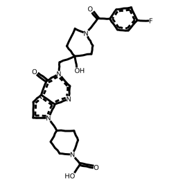 O=C(O)N1CCC(n2ccc3c(=O)n(CC4(O)CCN(C(=O)c5ccc(F)cc5)CC4)cnc32)CC1